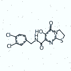 O=C(NCc1ccc(Cl)c(Cl)c1)c1nc2n(c(=O)c1O)CCS2